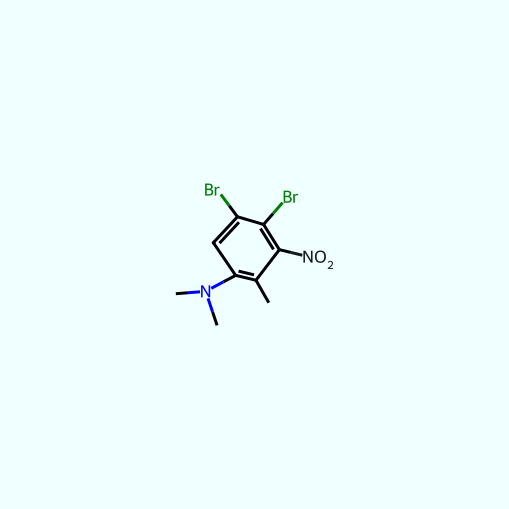 Cc1c(N(C)C)cc(Br)c(Br)c1[N+](=O)[O-]